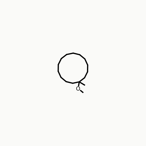 COC1(C)CCCCCCCCCCCCC1